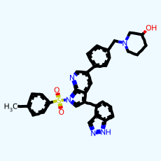 Cc1ccc(S(=O)(=O)n2cc(-c3cccc4[nH]ncc34)c3cc(-c4ccc(CN5CCCC(O)C5)cc4)cnc32)cc1